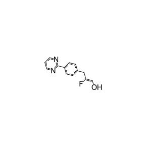 O/C=C(\F)Cc1ccc(-c2ncccn2)cc1